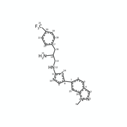 Cn1ncc2ccc(-c3cnc(NCC(N)Cc4ccc(C(F)(F)F)cc4)s3)cc21